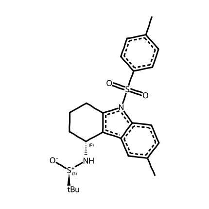 Cc1ccc(S(=O)(=O)n2c3c(c4cc(C)ccc42)[C@H](N[S@+]([O-])C(C)(C)C)CCC3)cc1